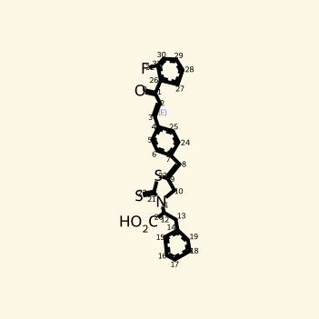 O=C(/C=C/c1ccc(C=C2CN(C(Cc3ccccc3)C(=O)O)C(=S)S2)cc1)c1ccccc1F